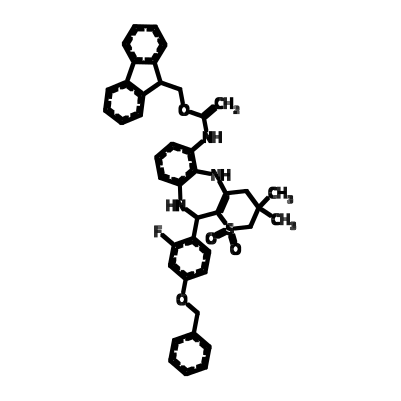 C=C(Nc1cccc2c1NC1=C(C(c3ccc(OCc4ccccc4)cc3F)N2)S(=O)(=O)CC(C)(C)C1)OCC1c2ccccc2-c2ccccc21